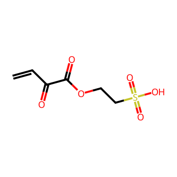 C=CC(=O)C(=O)OCCS(=O)(=O)O